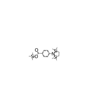 C[Si](C)(C)OC(=O)c1ccc(N2[Si](C)(C)CC[Si]2(C)C)cc1